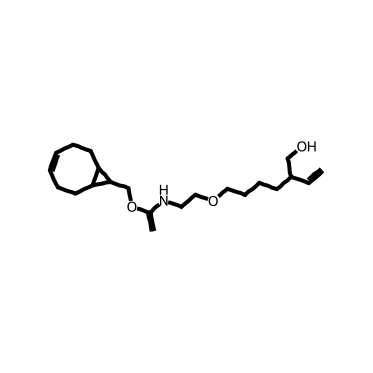 C=CC(CO)CCCCOCCNC(=C)OCC1C2CC/C=C\CCC21